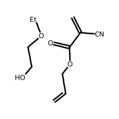 C=CCOC(=O)C(=C)C#N.CCOCCO